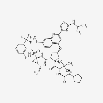 C=C[C@@H]1C[C@]1(NC(=O)[C@@H]1C[C@@H](Oc2cc(-c3csc(NC(C)C)n3)nc3cc(OC)ccc23)CN1C(=O)[C@@H](NC(=O)OC1CCCC1)C(C)(C)C)P(=O)(O)Cc1c(F)cccc1C(F)(F)F